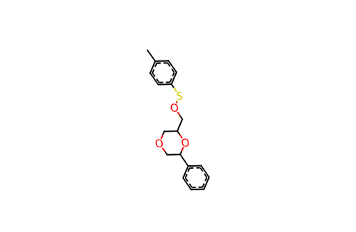 Cc1ccc(SOCC2COCC(c3ccccc3)O2)cc1